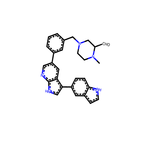 CN1CCN(Cc2cccc(-c3cnc4[nH]cc(-c5ccc6[nH]ccc6c5)c4c3)c2)CC1C=O